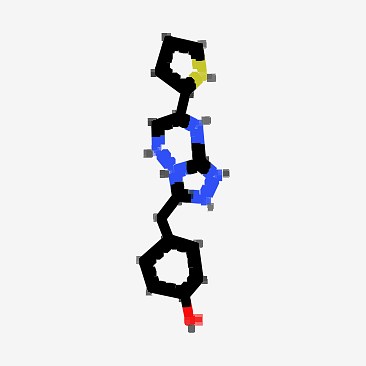 Oc1ccc(Cc2nnc3nc(-c4cccs4)cnn23)cc1